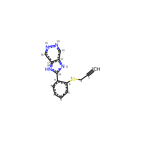 C#CCSc1ccccc1-c1nc2cnncc2[nH]1